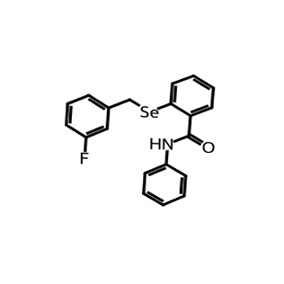 O=C(Nc1ccccc1)c1ccccc1[Se]Cc1cccc(F)c1